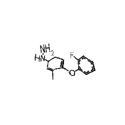 CC1=CC(NN)CC=C1Oc1ccccc1F